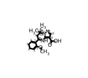 COC1=CCCC=C1C1CC(C)(C)n2ncc(C(=O)O)c2N1